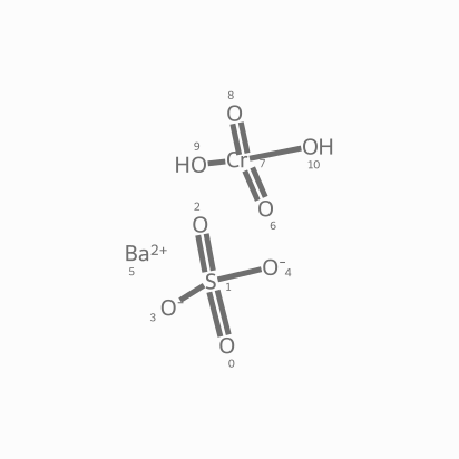 O=S(=O)([O-])[O-].[Ba+2].[O]=[Cr](=[O])([OH])[OH]